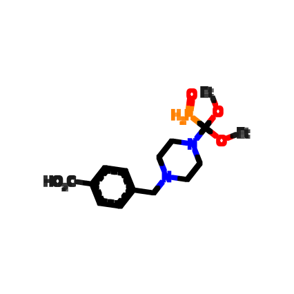 CCOC(OCC)([PH2]=O)N1CCN(Cc2ccc(C(=O)O)cc2)CC1